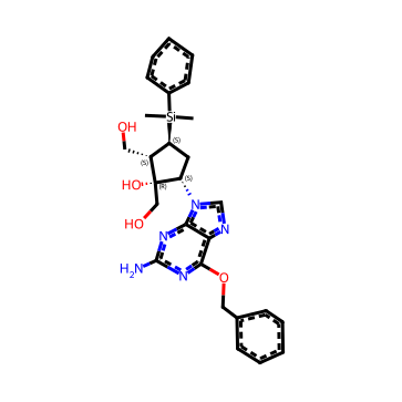 C[Si](C)(c1ccccc1)[C@H]1C[C@H](n2cnc3c(OCc4ccccc4)nc(N)nc32)[C@@](O)(CO)[C@@H]1CO